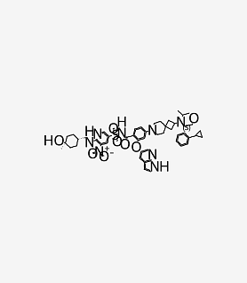 CC1COC[C@H](c2ccccc2C2CC2)N1C1CC2(CCN(c3ccc(C(=O)NS(=O)(=O)c4cnc(NC[C@H]5CC[C@](C)(O)CC5)c([N+](=O)[O-])c4)c(Oc4cnc5[nH]ccc5c4)c3)CC2)C1